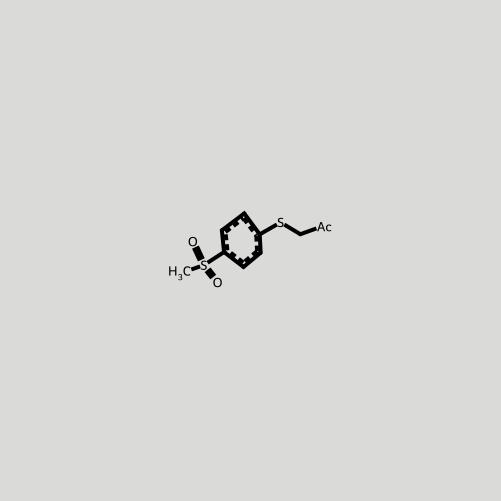 CC(=O)CSc1ccc(S(C)(=O)=O)cc1